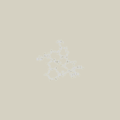 Cc1ccc(B2OC(C)(C)C(C)(C)O2)cc1C/C(=N/N)N(N)CC1CCCCC1